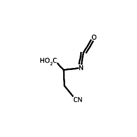 N#CCC(N=C=O)C(=O)O